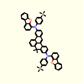 CC1(C)c2cc(N(c3ccc([Si](C)(C)C)cc3)c3cccc4c3oc3ccccc34)ccc2-c2cc3ccc(N(c4ccc([Si](C)(C)C)cc4)c4cccc5c4oc4ccccc45)cc3c3cccc1c23